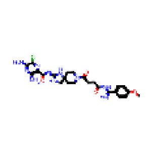 COc1ccc(C(=N)NC(=O)CCC(=O)N2CCC3(CC2)CN/C(=N\C(=O)c2nc(Cl)c(N)nc2N)N3)cc1